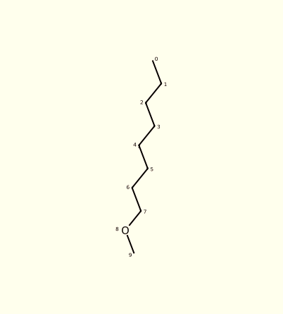 CCCC[CH]CCCOC